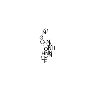 Cc1ccc(OCCN2CCCCC2)cc1-c1cc(NC(=O)c2nnc(Cc3ccccc3F)[nH]2)ncn1